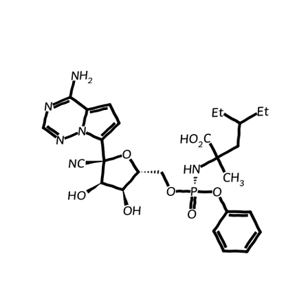 CCC(CC)CC(C)(N[P@](=O)(OC[C@H]1O[C@@](C#N)(c2ccc3c(N)ncnn23)[C@H](O)[C@@H]1O)Oc1ccccc1)C(=O)O